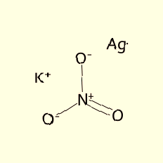 O=[N+]([O-])[O-].[Ag].[K+]